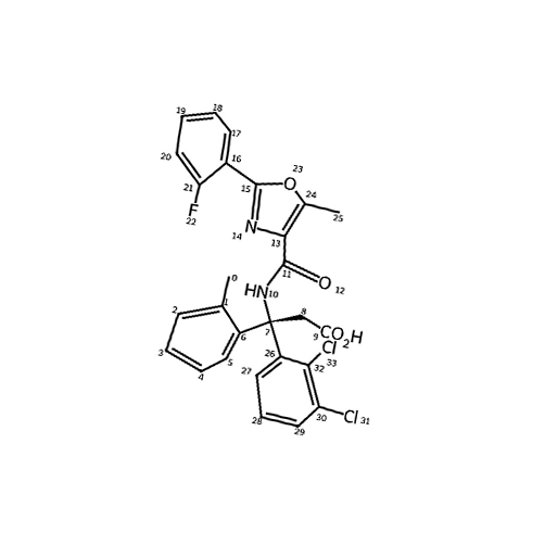 Cc1ccccc1[C@](CC(=O)O)(NC(=O)c1nc(-c2ccccc2F)oc1C)c1cccc(Cl)c1Cl